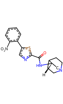 O=C(N[C@H]1CN2CCC1CC2)c1ncc(-c2ccccc2[N+](=O)[O-])s1